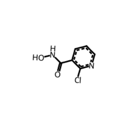 O=C(NO)c1cccnc1Cl